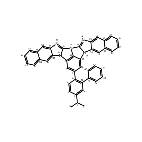 CC(C)c1ccc(-c2cc3c4c(c2)n2c5cc6ccccc6cc5nc2n4c2nc4cc5ccccc5cc4n32)c(-c2ccccc2)c1